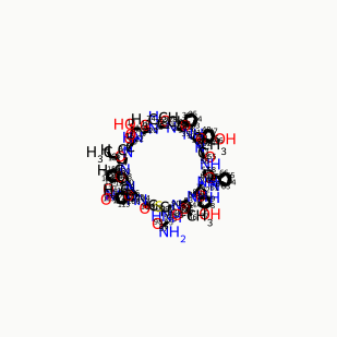 CCCC[C@H]1C(=O)N(C)CC(=O)N[C@@H](CC(=O)O)C(=O)N[C@@H](C(C)C)C(=O)N(C)[C@@H](Cc2ccccc2)C(=O)N[C@@H](Cc2ccc(O)cc2)C(=O)N(C)CC(=O)N[C@@H](Cc2c[nH]c3ccccc23)C(=O)N[C@@H](Cc2ccc(O)cc2)C(=O)N[C@@H](CC(C)C)C(=O)N[C@H](C(=O)NCC(N)=O)CSCC(=O)N[C@@H](Cc2ccc([N+](=O)[O-])cc2)C(=O)N(C)[C@@H](Cc2ccccc2)C(=O)N1C